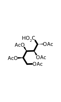 CC(=O)OC[C@@H](OC(C)=O)[C@@H](OC(C)=O)[C@H](OC(C)=O)[C@@H](OC(C)=O)C(=O)O